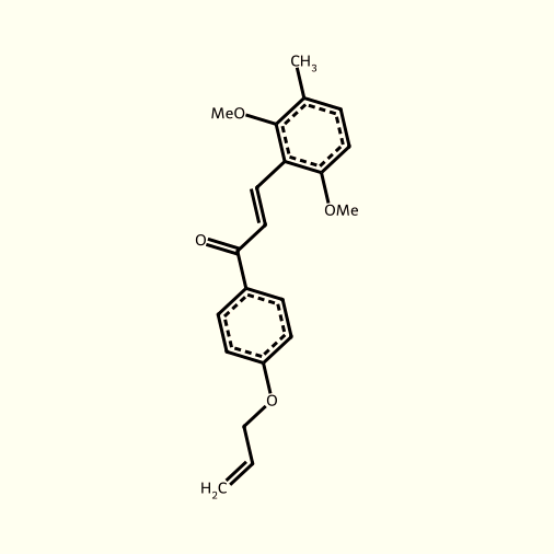 C=CCOc1ccc(C(=O)C=Cc2c(OC)ccc(C)c2OC)cc1